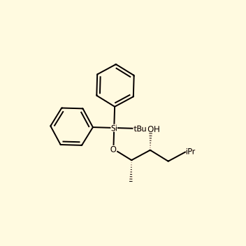 CC(C)C[C@@H](O)[C@H](C)O[Si](c1ccccc1)(c1ccccc1)C(C)(C)C